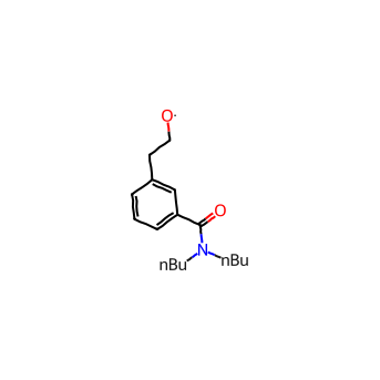 CCCCN(CCCC)C(=O)c1cccc(CC[O])c1